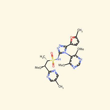 COc1ncnc(OC)c1-n1c(NS(=O)(=O)[C@@H](C)[C@H](OC)c2ncc(C)cn2)nnc1-c1ccc(C)o1